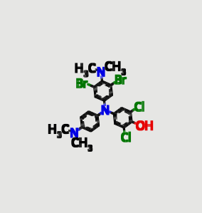 CN(C)c1ccc(N(c2cc(Cl)c(O)c(Cl)c2)c2cc(Br)c(N(C)C)c(Br)c2)cc1